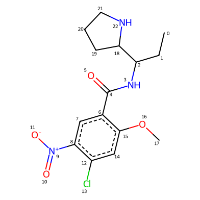 CCC(NC(=O)c1cc([N+](=O)[O-])c(Cl)cc1OC)C1CCCN1